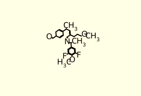 COCCCC(/C=N\C(C)c1cc(F)c(OC)c(F)c1)=C/C(C)C1=CCC(C=O)C=C1